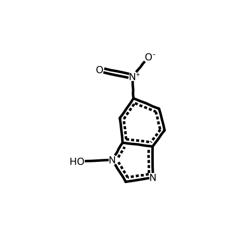 O=[N+]([O-])c1ccc2ncn(O)c2c1